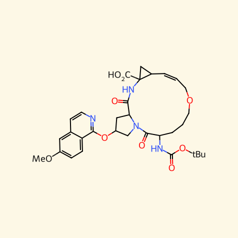 COc1ccc2c(OC3CC4C(=O)NC5(C(=O)O)CC5C=CCOCCCC(NC(=O)OC(C)(C)C)C(=O)N4C3)nccc2c1